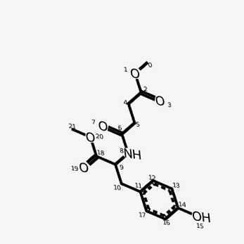 COC(=O)CCC(=O)NC(Cc1ccc(O)cc1)C(=O)OC